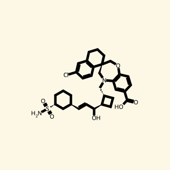 NS(=O)(=O)[C@@H]1CCC[C@@H](/C=C/C(O)[C@@H]2CC[C@H]2CN2C[C@@]3(CCCc4cc(Cl)ccc43)COc3ccc(C(=O)O)cc32)C1